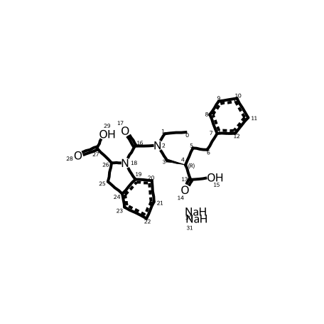 CCN(C[C@@H](CCc1ccccc1)C(=O)O)C(=O)N1c2ccccc2CC1C(=O)O.[NaH].[NaH]